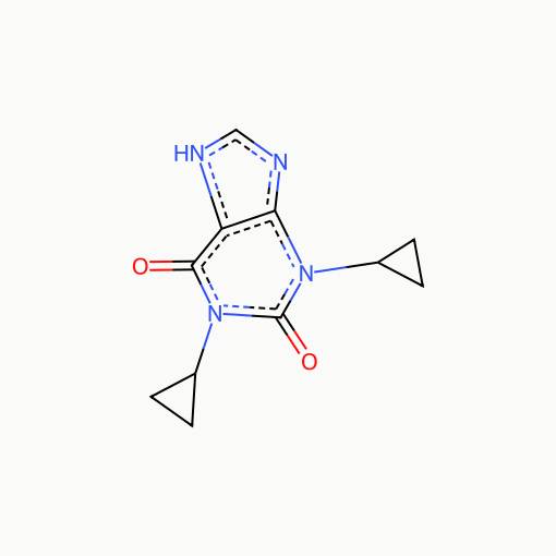 O=c1c2[nH]cnc2n(C2CC2)c(=O)n1C1CC1